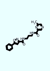 Cc1cncc(C(=O)NCCCNC(=O)c2cc(-c3ccccc3)on2)n1